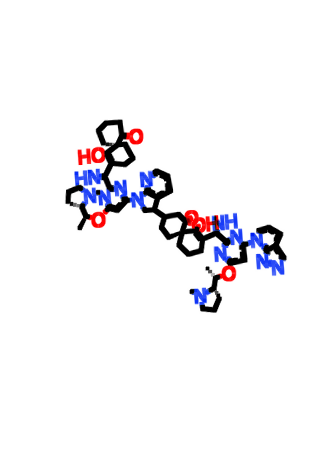 C[C@H](Oc1cc(N2CC(C3CC[C@@]4(CCCC(C(=N)c5nc(O[C@@H](C)[C@@H]6CCCN6C)cc(-n6cccc7cnnc6-7)n5)=C4O)C(=O)C3)c3cccnc32)nc(C(=N)C2=C(O)[C@]3(CCCCC3=O)CCC2)n1)[C@@H]1CCCN1C